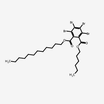 CCCCCCCCCCCCOC(=O)c1c(Br)c(Br)c(Br)c(Br)c1C(=O)OCCCCCC